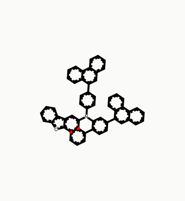 c1ccc(-c2ccc(-c3cc4ccccc4c4ccccc34)cc2N(c2ccc(-c3cc4ccccc4c4ccccc34)cc2)c2ccc3oc4ccccc4c3c2)cc1